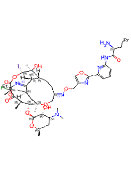 CCC(=O)/N=C1\[C@H](C)C[C@@]2(C)OC/C(=N/OCc3coc(-c4cccc(NC(=O)[C@@H](N)CC(C)C)n4)n3)CC[C@H]([C@H]1C)[C@](C)(O)[C@@H](I)OC(=O)[C@@](C)(F)C(=O)[C@H](C)[C@H]2O[C@@H]1O[C@H](C)C[C@H](N(C)C)[C@H]1O